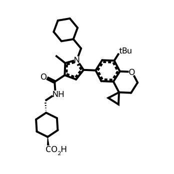 Cc1c(C(=O)NC[C@H]2CC[C@H](C(=O)O)CC2)cc(-c2cc(C(C)(C)C)c3c(c2)C2(CCO3)CC2)n1CC1CCCCC1